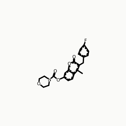 Cc1c(Cc2ccc(F)cc2)c(=O)oc2cc(OC(=O)N3CCOCC3)ccc12